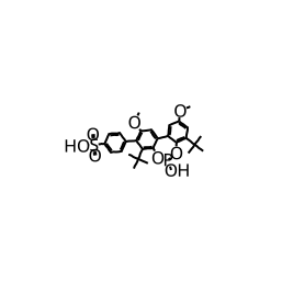 COc1cc(C(C)(C)C)c2op(O)oc3c(C(C)(C)C)c(-c4ccc(S(=O)(=O)O)cc4)c(OC)cc3c2c1